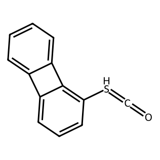 O=C=[SH]c1cccc2c1-c1ccccc1-2